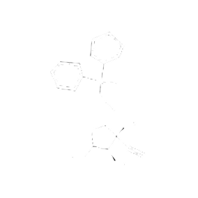 C#C[C@@]1(OC(C)=O)[C@@H](CO[Si](c2ccccc2)(c2ccccc2)C(C)(C)C)OC(OC(C)=O)[C@@H]1OC(C)=O